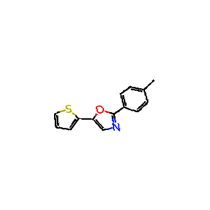 Cc1ccc(-c2ncc(-c3cccs3)o2)cc1